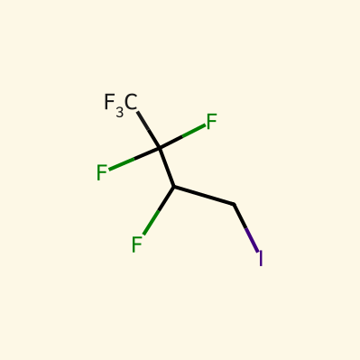 FC(CI)C(F)(F)C(F)(F)F